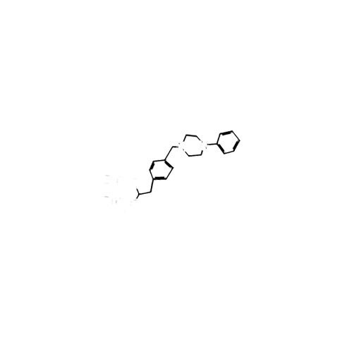 CCOC(=O)C(Cc1ccc(CN2CCN(c3ccccc3)CC2)cc1)C(=O)OCC